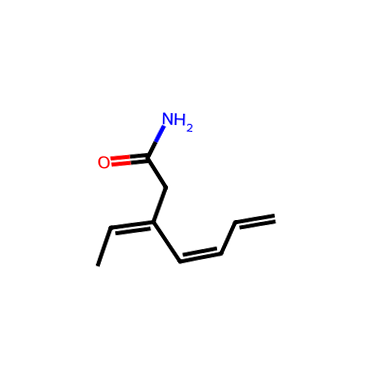 C=C/C=C\C(=C/C)CC(N)=O